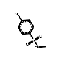 CBS(=O)(=O)c1ccc(Br)cc1